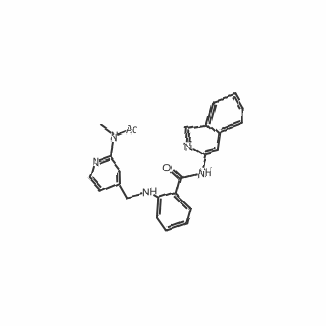 CC(=O)N(C)c1cc(CNc2ccccc2C(=O)Nc2cc3ccccc3cn2)ccn1